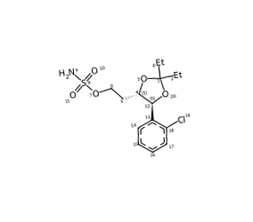 CCC1(CC)O[C@@H](CCOS(N)(=O)=O)[C@H](c2ccccc2Cl)O1